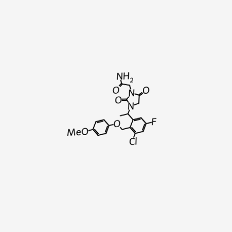 COc1ccc(OCc2c(Cl)cc(F)cc2C(C)N2CC(=O)N(CC(N)=O)C2=O)cc1